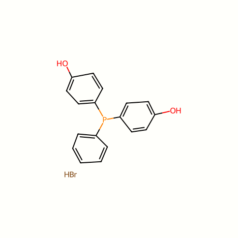 Br.Oc1ccc(P(c2ccccc2)c2ccc(O)cc2)cc1